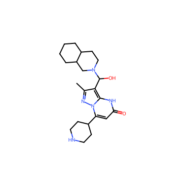 Cc1nn2c(C3CCNCC3)cc(=O)[nH]c2c1C(O)N1CCC2CCCCC2C1